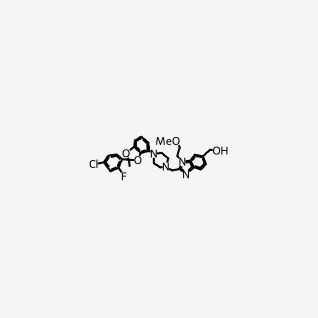 COCCn1c(CN2CCN(c3cccc4c3OC(C)(c3ccc(Cl)cc3F)O4)CC2)nc2ccc(CO)cc21